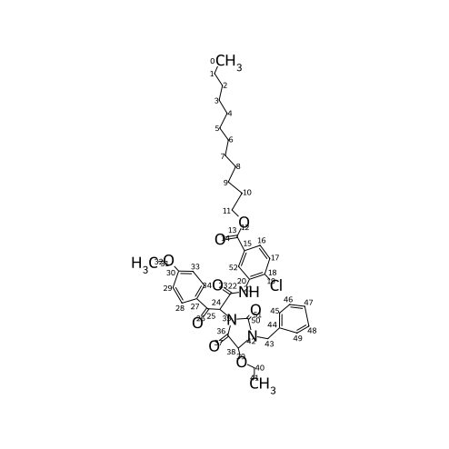 CCCCCCCCCCCCOC(=O)c1ccc(Cl)c(NC(=O)C(C(=O)c2ccc(OC)cc2)N2C(=O)C(OCC)N(Cc3ccccc3)C2=O)c1